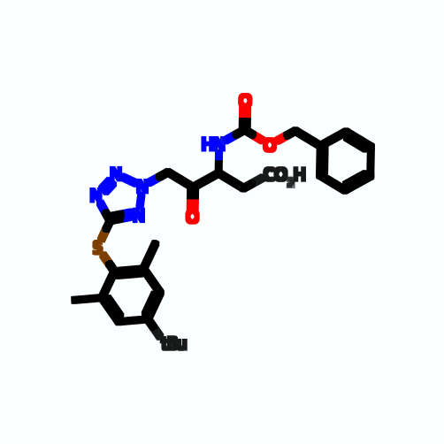 Cc1cc(C(C)(C)C)cc(C)c1Sc1nnn(CC(=O)C(CC(=O)O)NC(=O)OCc2ccccc2)n1